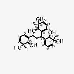 CC1(O)C=CC=C(CCC(C2=CC=CC(C)(O)C2O)C2=CC=CC(C)(O)C2O)C1O